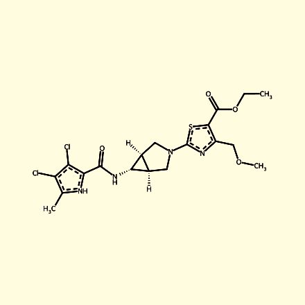 CCOC(=O)c1sc(N2C[C@@H]3[C@H](C2)[C@H]3NC(=O)c2[nH]c(C)c(Cl)c2Cl)nc1COC